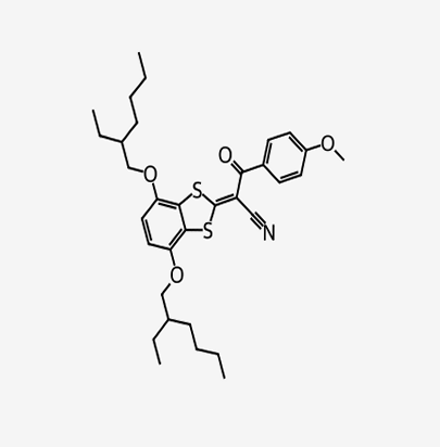 CCCCC(CC)COc1ccc(OCC(CC)CCCC)c2c1SC(=C(C#N)C(=O)c1ccc(OC)cc1)S2